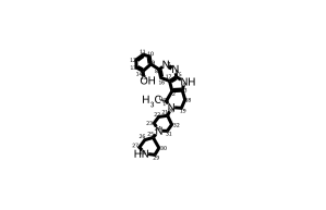 C[C@@H]1c2c([nH]c3nnc(-c4ccccc4O)cc23)CCN1C1CCN(C2CCNCC2)CC1